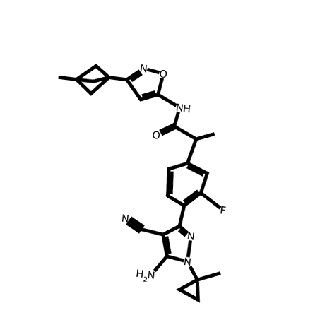 CC(C(=O)Nc1cc(C23CC(C)(C2)C3)no1)c1ccc(-c2nn(C3(C)CC3)c(N)c2C#N)c(F)c1